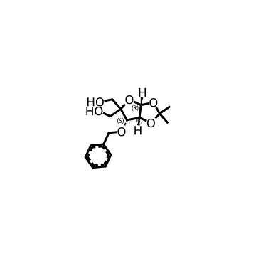 CC1(C)O[C@H]2OC(CO)(CO)[C@@H](OCc3ccccc3)[C@H]2O1